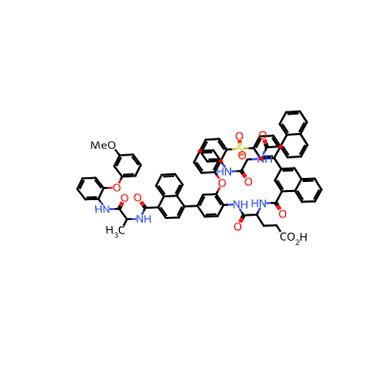 COc1cccc(Oc2ccccc2NC(=O)C(C)NC(=O)c2ccc(-c3ccc(NC(=O)C(CCC(=O)O)NC(=O)c4cc(-c5cccc(S(=O)(=O)c6ccccc6NC(=O)CNC(=O)c6cccc7ccccc67)c5)cc5ccccc45)c(Oc4ccccc4)c3)c3ccccc23)c1